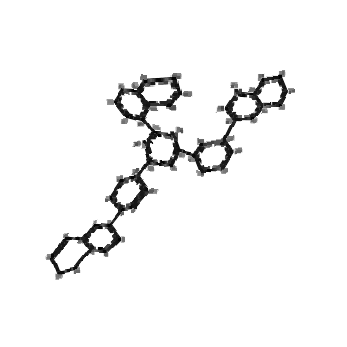 c1c(-c2ccc3c(c2)C=CCC3)ccc(-c2cc(-c3cccc(-c4cnc5ccccc5c4)c3)nc(-c3cccc4ccccc34)n2)c#1